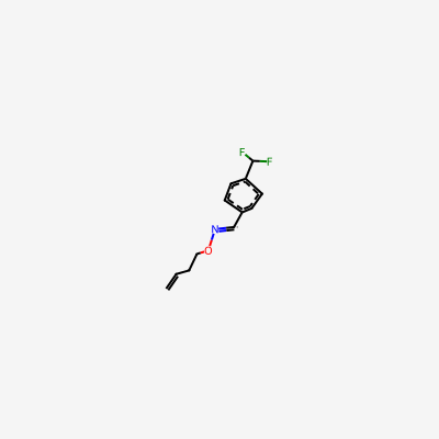 C=CCCON=[C]c1ccc(C(F)F)cc1